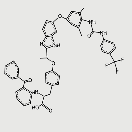 Cc1cc(Oc2ccc3nc(C(C)Oc4ccc(CC(Nc5ccccc5C(=O)c5ccccc5)C(=O)O)cc4)[nH]c3c2)cc(C)c1NC(=O)Nc1ccc(C(F)(F)F)cc1